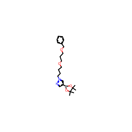 CC1(C)OB(c2cnn(CCCCOCCCOCc3ccccc3)c2)OC1(C)C